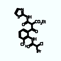 CCOC(=O)C(C(=O)Nc1nccs1)C(=O)c1cccc(C(F)(F)F)c1NC(=O)C(Cl)C(C)C